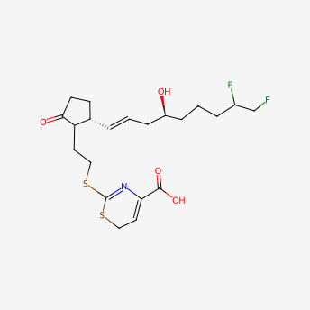 O=C(O)C1=CCSC(SCCC2C(=O)CC[C@@H]2/C=C/C[C@@H](O)CCCC(F)CF)=N1